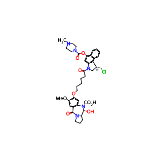 COc1cc2c(cc1OCCCCCC(=O)N1C[C@@H](CCl)c3c1cc(OC(=O)N1CCN(C)CC1)c1ccccc31)N(C(=O)O)C(O)C1CCCN1C2=O